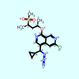 C[C@H](C[C@@H](C)S(C)(=O)=O)Oc1ncc(C(N=[N+]=[N-])C2CC2)c2cc(Cl)ncc12